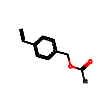 C=Cc1ccc(COC(=O)CC)cc1